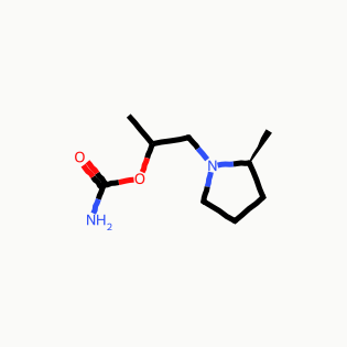 CC(CN1CCC[C@@H]1C)OC(N)=O